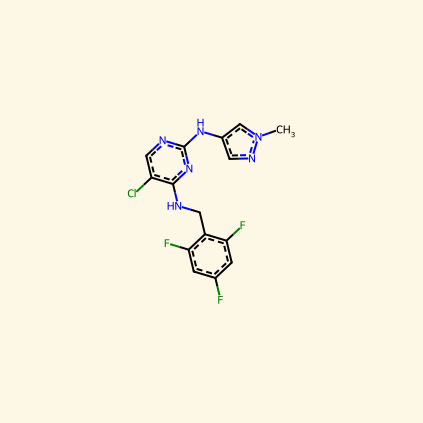 Cn1cc(Nc2ncc(Cl)c(NCc3c(F)cc(F)cc3F)n2)cn1